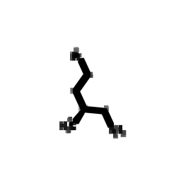 CC(C)CC[C@H](C)CN